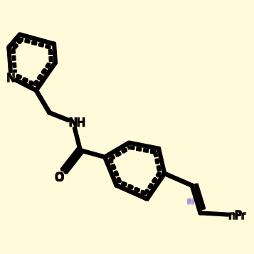 CCC/C=C/c1ccc(C(=O)NCc2ccccn2)cc1